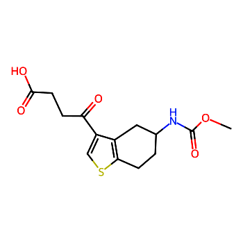 COC(=O)NC1CCc2scc(C(=O)CCC(=O)O)c2C1